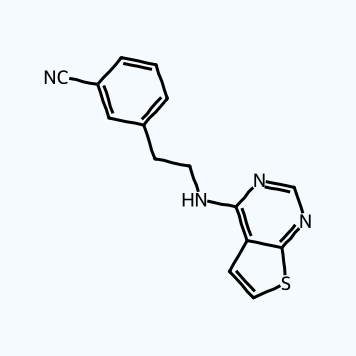 N#Cc1cccc(CCNc2ncnc3sccc23)c1